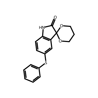 O=C1Nc2ccc(Sc3ccccc3)cc2C12OCCCO2